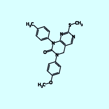 COc1ccc(N2Cc3cnc(SC)nc3N(c3ccc(C)cc3)C2=O)cc1